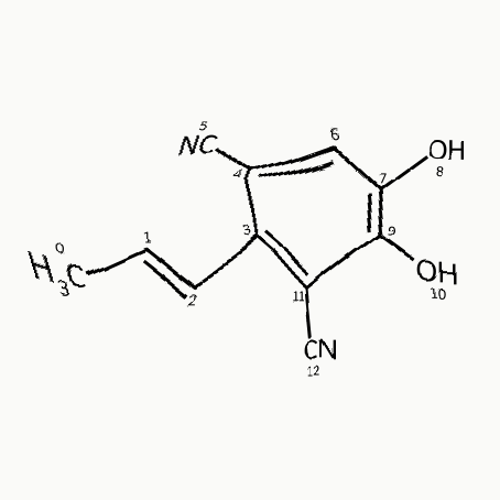 CC=Cc1c(C#N)cc(O)c(O)c1C#N